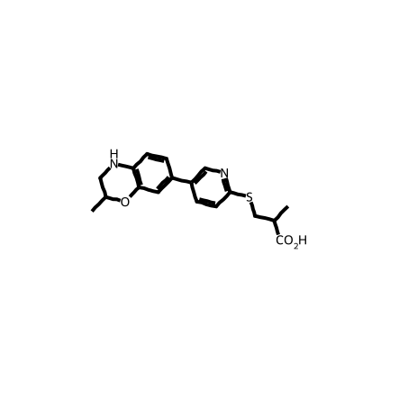 CC1CNc2ccc(-c3ccc(SCC(C)C(=O)O)nc3)cc2O1